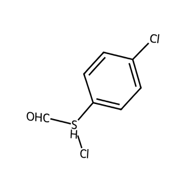 O=C[SH](Cl)c1ccc(Cl)cc1